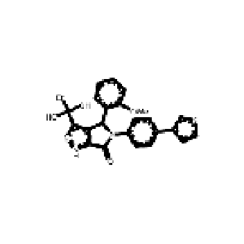 CCC(O)(O)c1n[nH]c2c1C(c1ccccc1OC)N(c1ccc(-c3ccsc3)cc1)C2=O